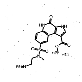 CCCOC(=O)c1c[nH]c2c(=O)[nH]c3ccc(S(=O)(=O)N(C)CCNC)cc3c12.Cl